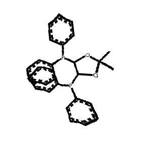 CC1(C)OC(P(c2ccccc2)c2ccccc2)C(P(c2ccccc2)c2ccccc2)O1